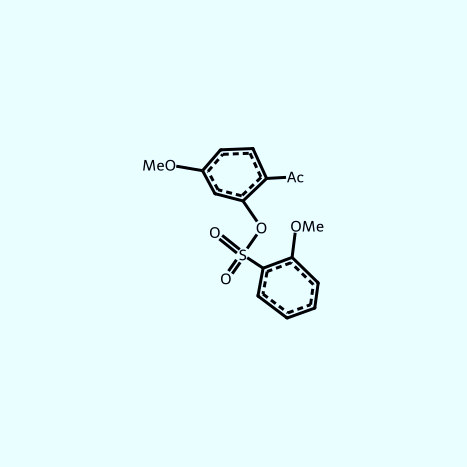 COc1ccc(C(C)=O)c(OS(=O)(=O)c2ccccc2OC)c1